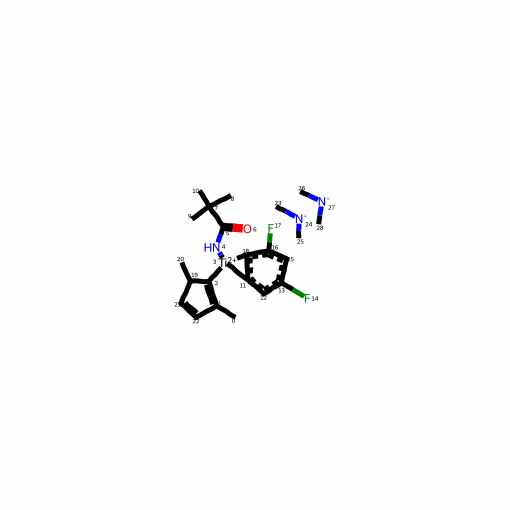 CC1=[C]([Ti+2]2([NH]C(=O)C(C)(C)C)[c]3cc(F)cc(F)[c]32)C(C)C=C1.C[N-]C.C[N-]C